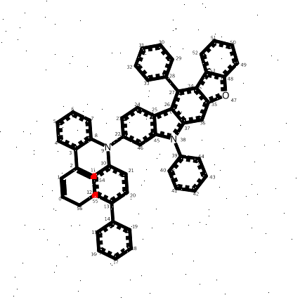 C1=CC(c2ccccc2N(c2ccc(-c3ccccc3)cc2)c2ccc3c4c(-c5ccccc5)c5c(cc4n(-c4ccccc4)c3c2)oc2ccccc25)=CCC1